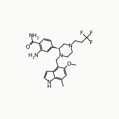 COc1cc(C)c2[nH]ccc2c1CN1CCN(CCC(F)(F)F)C[C@@H]1c1ccc(C(N)=O)c(N)c1